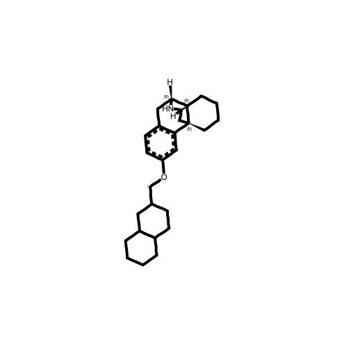 [CH](Oc1ccc2c(c1)[C@@]13CCCC[C@H]1[C@@H](C2)NCC3)C1CCC2CCCCC2C1